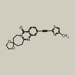 Cc1csc(C#Cc2ccc3c(=O)n4c(nc3c2)CCC2(CC4)OCCO2)n1